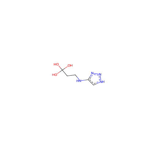 OC(O)(O)CCNc1c[nH]nn1